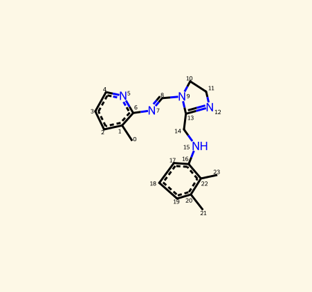 Cc1cccnc1N=CN1CCN=C1CNc1cccc(C)c1C